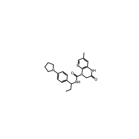 CCC(NC(=O)N1CC(=O)Nc2cc(C)cnc21)c1ccc(N2CCCC2)cc1